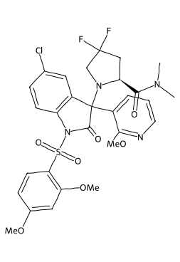 COc1ccc(S(=O)(=O)N2C(=O)C(c3cccnc3OC)(N3CC(F)(F)C[C@H]3C(=O)N(C)C)c3cc(Cl)ccc32)c(OC)c1